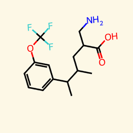 CC(CC(CN)C(=O)O)C(C)c1cccc(OC(F)(F)F)c1